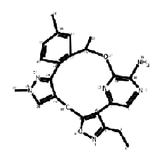 CCc1noc2c1-c1cnc(N)c(n1)OC(C)c1cc(C)ccc1-c1nn(C)cc1C2